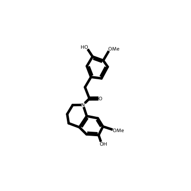 COc1ccc(CC(=O)N2CCCc3cc(O)c(OC)cc32)cc1O